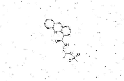 CC(CNC(=O)c1cccc2cc3ccccc3nc12)OS(C)(=O)=O